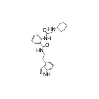 O=C(CNC1CCCCC1)Nc1ccccc1C(=O)NCCc1cccc2[nH]ccc12